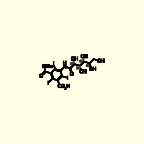 CNC(=O)c1c(I)c(NC(=O)[C@H](O)[C@@H](O)[C@H](O)[C@H](O)CO)c(I)c(C(=O)O)c1I